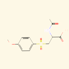 COc1ccc(S(=O)(=O)CC(NC(C)=O)C(=O)O)cc1